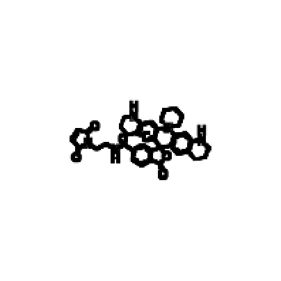 O=C(NCCN1C(=O)C=CC1=O)c1ccc2c(c1)C1(OC2=O)c2cc3c(cc2[Si]2(CCCCC2)c2cc4c(cc21)CCCN4)NCCC3